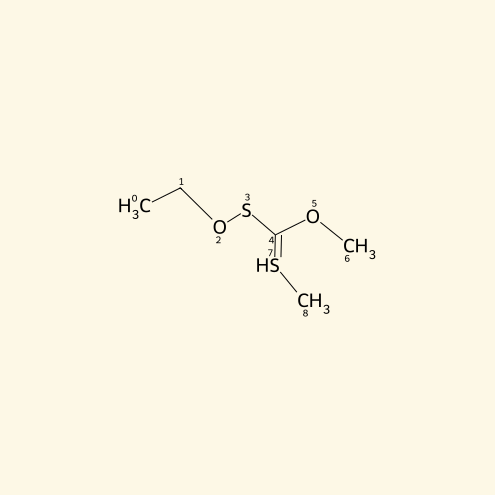 CCOSC(OC)=[SH]C